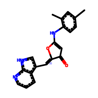 Cc1ccc(NC2=CC(=O)/C(=C/c3c[nH]c4ncccc34)O2)c(C)c1